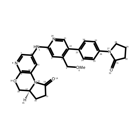 COCc1cc(Nc2cnc3c(c2)N2C(=O)CC[C@H]2CO3)ncc1-c1ccc(N2CCCC2=O)cc1